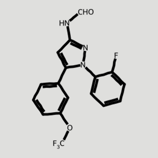 O=CNc1cc(-c2cccc(OC(F)(F)F)c2)n(-c2ccccc2F)n1